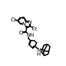 CCc1nc2ccc(Cl)cn2c1C(=O)NCC1=CC=C(NC23CC4CC(CC(C4)C2)C3)CC1